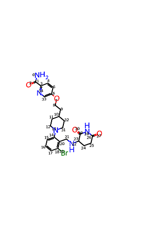 NC(=O)c1ccc(OCCC2CCN(c3cccc(Br)c3CNC3CCC(=O)NC3=O)CC2)cn1